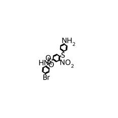 Nc1ccc(Sc2ccc(S(=O)(=O)Nc3ccc(Br)cc3)cc2[N+](=O)[O-])cc1